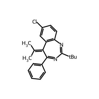 CC(C)=C1C(c2ccccc2)=NC(C(C)(C)C)=Nc2ccc(Cl)cc21